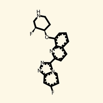 Fc1ccn2c(-c3ccc4cccc(O[C@@H]5CCNC[C@@H]5F)c4n3)nnc2c1